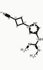 C=N/C(=N\C)Nc1cnn(C2CC(C#N)C2)c1